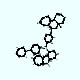 CC12C=CC=CC1=c1ccccc1=C(c1ccc(N(c3ccc(-c4ccccc4)cc3)c3cccc4sc5ccccc5c34)cc1)C2